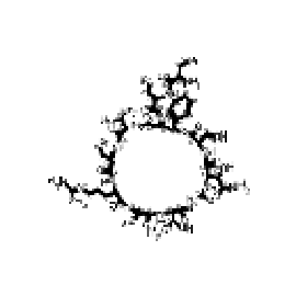 CCC(C)C1NC(=O)C(CCCN=C(N)N)NC(=O)C(CC(C)C)NC(=O)C(C(O)C(C)C)NC(=O)C(NC(=O)C(CC(C)C)NC(=O)C(N)CC(C)C)C(c2ccccc2)OC(=O)C(CO)NC(=O)C(C(O)C(N)=O)NC(=O)CNC(=O)C(C(C)O)NC1=O